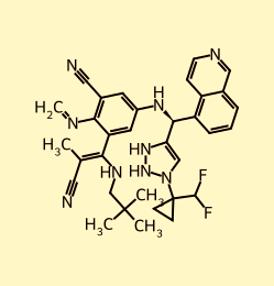 C=Nc1c(C#N)cc(N[C@H](C2=CN(C3(C(F)F)CC3)NN2)c2cccc3cnccc23)cc1/C(NCC(C)(C)C)=C(\C)C#N